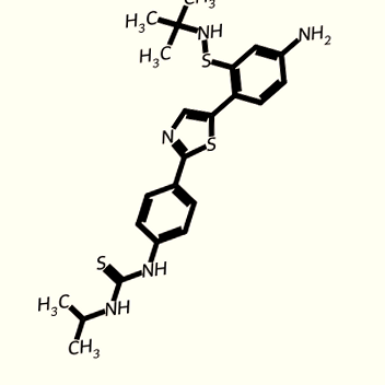 CC(C)NC(=S)Nc1ccc(-c2ncc(-c3ccc(N)cc3SNC(C)(C)C)s2)cc1